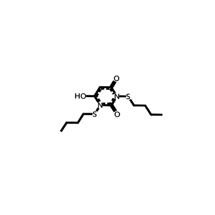 CCCCSn1c(O)cc(=O)n(SCCCC)c1=O